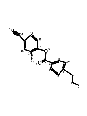 CCCc1ccc(C(=O)Oc2ccc(C#N)cc2F)cc1